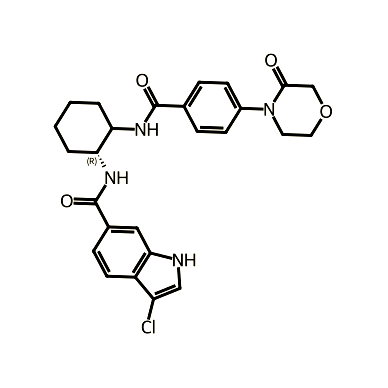 O=C(NC1CCCC[C@H]1NC(=O)c1ccc2c(Cl)c[nH]c2c1)c1ccc(N2CCOCC2=O)cc1